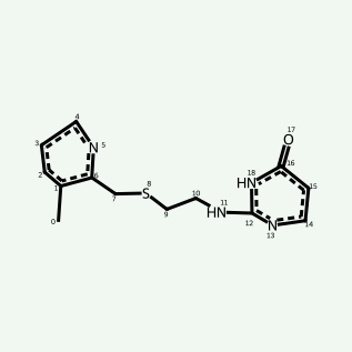 Cc1cccnc1CSCCNc1nccc(=O)[nH]1